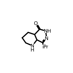 CC(C)C1=NNC(=O)C2CCCNC12